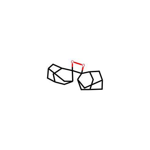 C1C2CC3CC1CC(C2)C31OOC12C1CC3CC(C1)CC2C3